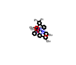 CC(C)c1cc2c(cc1C(C)C)-c1ccc3c4ccccc4n4c3c1[N+]1(c3c-2cccc3[N+]23c5ccccc5[N+]2(c2c(-c5cc(C(C)(C)C)cc(C(C)(C)C)c5)cccc2-c2cc(C(C)(C)C)cc(C(C)(C)C)c2)C13)[n+]1ccc(C(C)(C)C)cc1-4